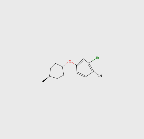 C[C@H]1CC[C@H](Oc2ccc(C#N)c(Br)c2)CC1